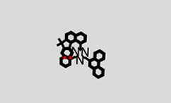 CC1(C)c2ccccc2-c2c1ccc1cccc(-c3nc(-c4ccccc4)nc(-c4cc5ccccc5c5ccccc45)n3)c21